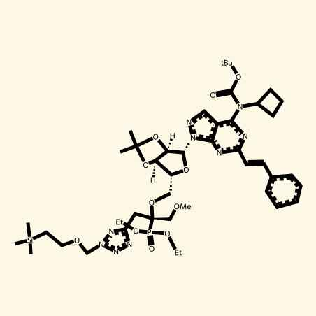 CCOP(=O)(OCC)[C@](COC)(Cc1nnn(COCC[Si](C)(C)C)n1)OC[C@H]1O[C@@H](n2ncc3c(N(C(=O)OC(C)(C)C)C4CCC4)nc(/C=C/c4ccccc4)nc32)[C@@H]2OC(C)(C)O[C@@H]21